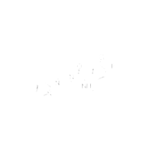 NC(C(=O)N1CCN(c2ccccn2)CC1)c1ccc(F)c(Cl)c1